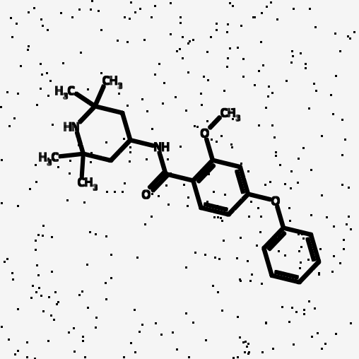 COc1cc(Oc2ccccc2)ccc1C(=O)NC1CC(C)(C)NC(C)(C)C1